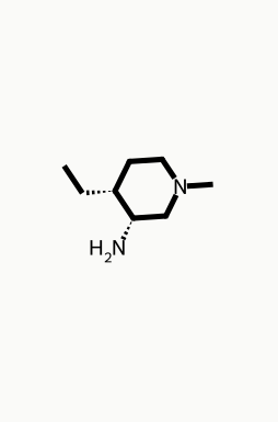 CC[C@@H]1CCN(C)C[C@@H]1N